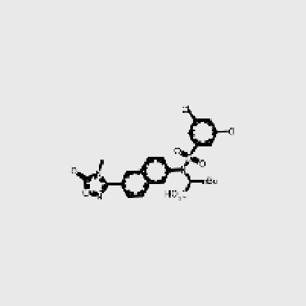 CCCCC(C(=O)O)N(c1ccc2cc(-c3noc(=O)n3C)ccc2c1)S(=O)(=O)c1cc(Cl)cc(Cl)c1